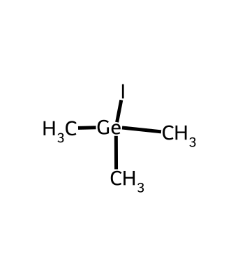 [CH3][Ge]([CH3])([CH3])[I]